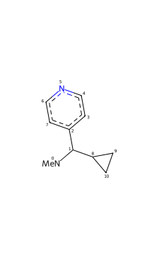 CNC(c1ccncc1)C1CC1